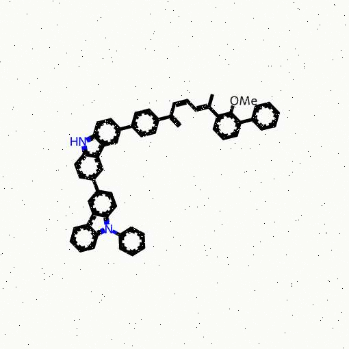 C=C(/C=C\C=C(/C)c1cccc(-c2ccccc2)c1OC)c1ccc(-c2ccc3[nH]c4ccc(-c5ccc6c(c5)c5ccccc5n6-c5ccccc5)cc4c3c2)cc1